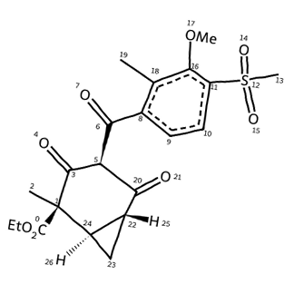 CCOC(=O)[C@@]1(C)C(=O)[C@@H](C(=O)c2ccc(S(C)(=O)=O)c(OC)c2C)C(=O)[C@@H]2C[C@H]21